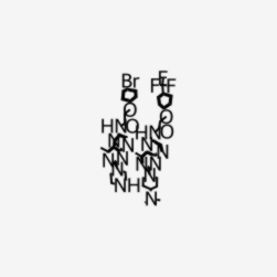 Cc1nc(N2CCC(N(C)C)CC2)nc2ncc(NC(=O)COc3ccc(C(F)(F)F)cc3)nc12.Cc1nc(N2CCNCC2)nc2ncc(NC(=O)COc3ccc(Br)cc3)nc12